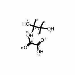 CC(C)(O)C(C)(C)O.O=C(O)C(=O)O